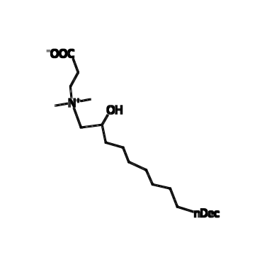 CCCCCCCCCCCCCCCCCC(O)C[N+](C)(C)CCC(=O)[O-]